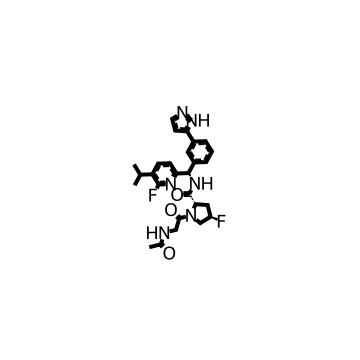 CC(=O)NCC(=O)N1C[C@H](F)C[C@H]1C(=O)N[C@@H](c1cccc(-c2ccn[nH]2)c1)c1ccc(C(C)C)c(F)n1